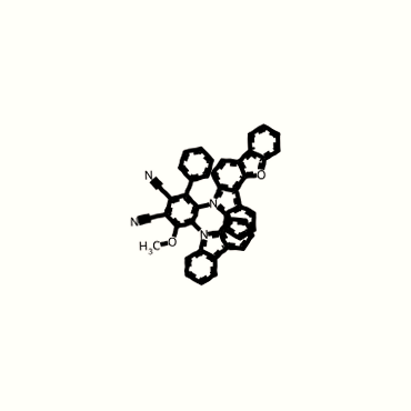 COc1c(C#N)c(C#N)c(-c2ccccc2)c(-n2c3ccccc3c3c4oc5ccccc5c4ccc32)c1-n1c2ccccc2c2ccccc21